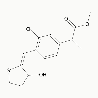 COC(=O)C(C)c1ccc(/C=C2/SCCC2O)c(Cl)c1